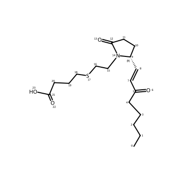 CCCCCC(=O)C=C[C@H]1CCC(=O)N1CCSCCCC(=O)O